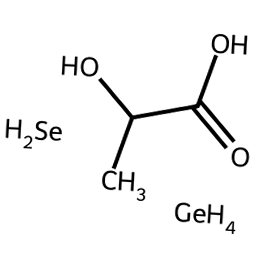 CC(O)C(=O)O.[GeH4].[SeH2]